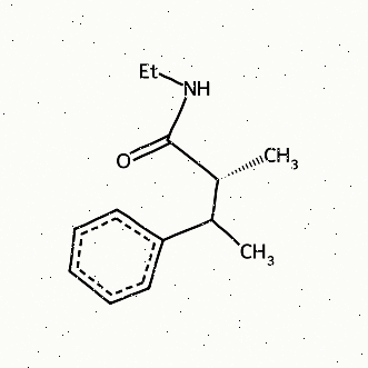 CCNC(=O)[C@H](C)C(C)c1ccccc1